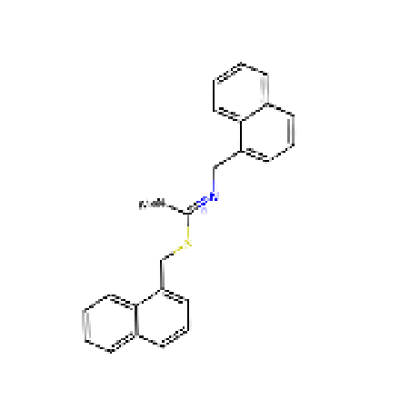 CN/C(=N\Cc1cccc2ccccc12)SCc1cccc2ccccc12